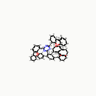 c1ccc(-c2ccc(-c3ccccc3)c(-c3cccc4ccccc34)c2-c2nc(-c3cccc4c3oc3ccccc34)nc(-c3cccc4c3oc3ccccc34)n2)cc1